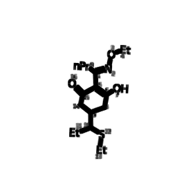 CCC/C(=N\OCC)C1=C(O)CC(C(CC)SCC)CC1=O